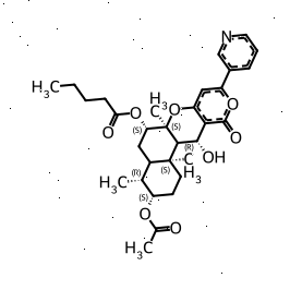 CCCCC(=O)O[C@H]1CC2[C@@H](C)[C@@H](OC(C)=O)CC[C@]2(C)C2[C@@H](O)c3c(cc(-c4cccnc4)oc3=O)O[C@@]21C